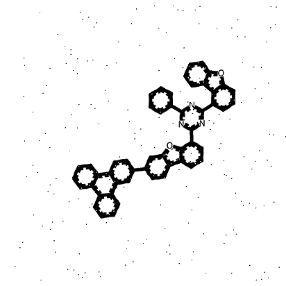 c1ccc(-c2nc(-c3cccc4c3oc3cc(-c5ccc6c7ccccc7c7ccccc7c6c5)ccc34)nc(-c3cccc4oc5ccccc5c34)n2)cc1